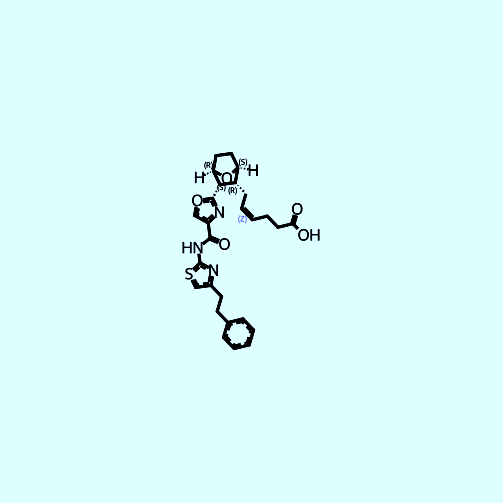 O=C(O)CC/C=C\C[C@@H]1[C@H](c2nc(C(=O)Nc3nc(CCc4ccccc4)cs3)co2)[C@H]2CC[C@@H]1O2